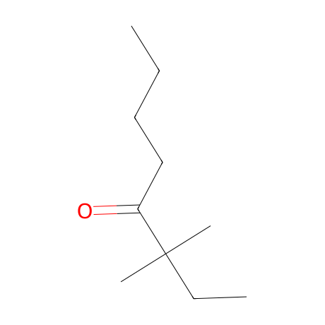 CCCCC(=O)C(C)(C)CC